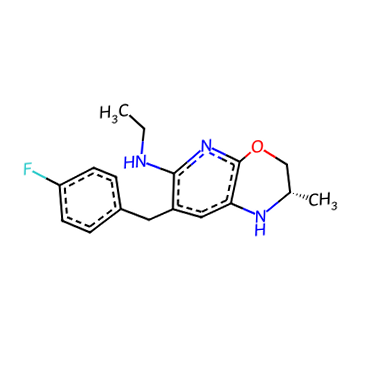 CCNc1nc2c(cc1Cc1ccc(F)cc1)N[C@@H](C)CO2